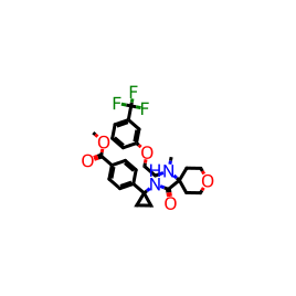 COC(=O)c1ccc(C2(NC(=O)C3(N(C)CCOc4cccc(C(F)(F)F)c4)CCOCC3)CC2)cc1